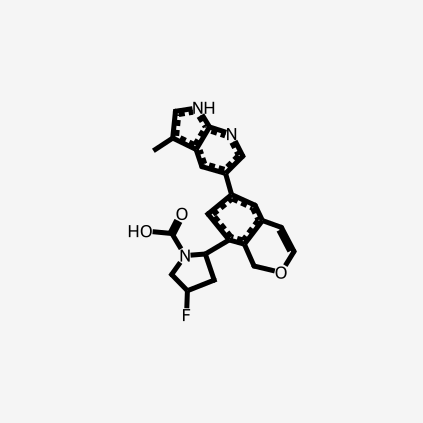 Cc1c[nH]c2ncc(-c3cc4c(c(C5CC(F)CN5C(=O)O)c3)COC=C4)cc12